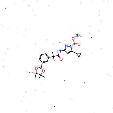 CC(C)(C)OC(=O)n1nc(NC(=O)C(C)(C)c2cccc(B3OC(C)(C)C(C)(C)O3)c2)cc1C1CC1